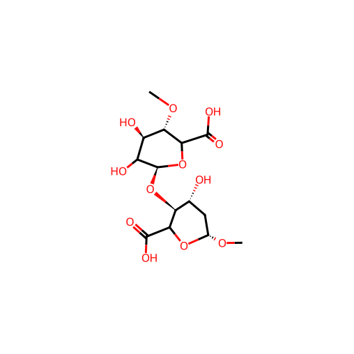 CO[C@H]1C[C@@H](O)[C@H](O[C@@H]2OC(C(=O)O)[C@@H](OC)[C@H](O)C2O)C(C(=O)O)O1